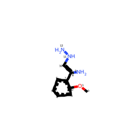 COc1ccccc1/C(N)=C/NN